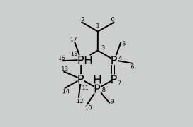 CC(C)C1P(C)(C)=P[PH](C)(C)P(C)(C)(C)[PH]1(C)C